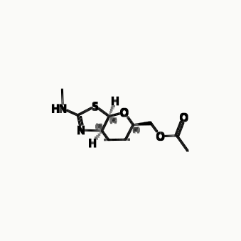 CNC1=N[C@@H]2[CH][CH][C@H](COC(C)=O)O[C@@H]2S1